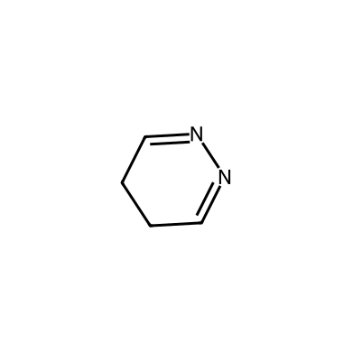 C1=NN=CCC1